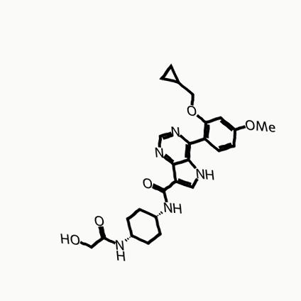 COc1ccc(-c2ncnc3c(C(=O)N[C@H]4CC[C@@H](NC(=O)CO)CC4)c[nH]c23)c(OCC2CC2)c1